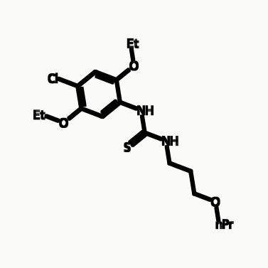 CCCOCCCNC(=S)Nc1cc(OCC)c(Cl)cc1OCC